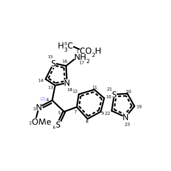 CC(=O)O.CO/N=C(\C(=S)c1ccccc1)c1csc(N)n1.c1cscn1